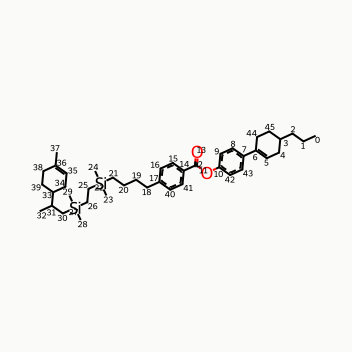 CCCC1CC=C(c2ccc(OC(=O)c3ccc(CCCC[Si](C)(C)CC[Si](C)(C)CC(C)C4CC=C(C)CC4)cc3)cc2)CC1